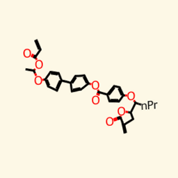 C=CC(=O)OC(C)Oc1ccc(-c2ccc(OC(=O)c3ccc(OC(CCC)C4CC(=C)C(=O)O4)cc3)cc2)cc1